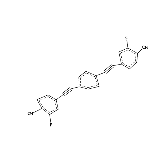 [C-]#[N+]c1ccc(C#Cc2ccc(C#Cc3ccc(C#N)c(F)c3)cc2)cc1F